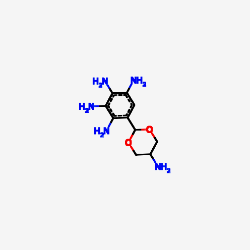 Nc1cc(C2OCC(N)CO2)c(N)c(N)c1N